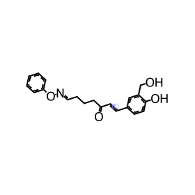 O=C(/C=C/c1ccc(O)c(CO)c1)CCCC=NOc1ccccc1